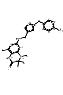 Cc1nc(NCc2cnn(Cc3ccc(C(F)(F)F)nc3)c2)nc2c1NC(=O)C(C)(C)N2C